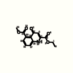 CCOC(=O)c1cc(=O)c2c(C(=O)OC)cccc2[nH]1